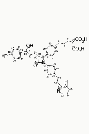 O=C(O)C(CCCc1ccc([C@@H]2[C@@H](CC[C@H](O)c3ccc(F)cc3)C(=O)N2c2ccc(CCC3=NCCCN3)cc2)cc1)C(=O)O